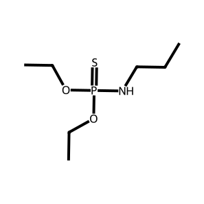 CCCNP(=S)(OCC)OCC